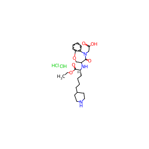 CCOC(=O)[C@H](CCCCC1CCNCC1)NC1COc2ccccc2N(CC(=O)O)C1=O.Cl.Cl